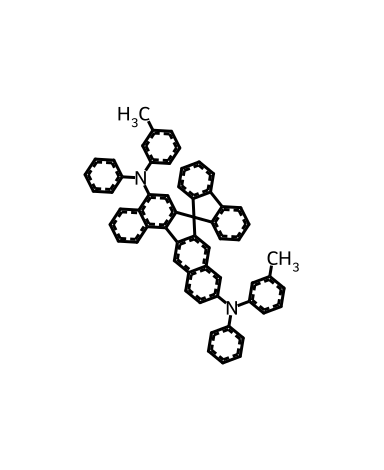 Cc1cccc(N(c2ccccc2)c2ccc3cc4c(cc3c2)C2(c3ccccc3-c3ccccc32)c2cc(N(c3ccccc3)c3cccc(C)c3)c3ccccc3c2-4)c1